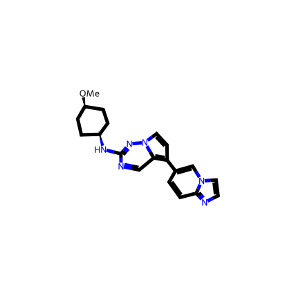 CO[C@H]1CC[C@@H](Nc2ncc3c(-c4ccc5nccn5c4)ccn3n2)CC1